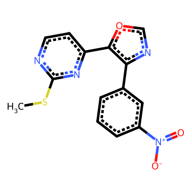 CSc1nccc(-c2ocnc2-c2cccc([N+](=O)[O-])c2)n1